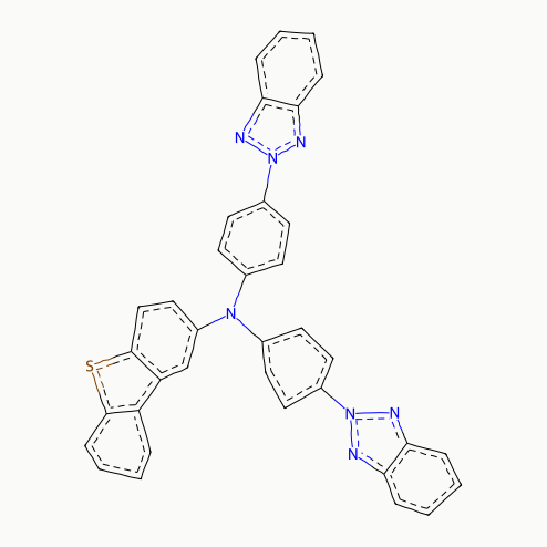 c1ccc2nn(-c3ccc(N(c4ccc(-n5nc6ccccc6n5)cc4)c4ccc5sc6ccccc6c5c4)cc3)nc2c1